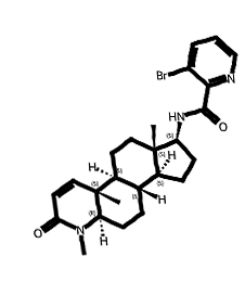 CN1C(=O)C=C[C@]2(C)[C@H]3CC[C@]4(C)[C@@H](NC(=O)c5ncccc5Br)CC[C@H]4[C@@H]3CC[C@@H]12